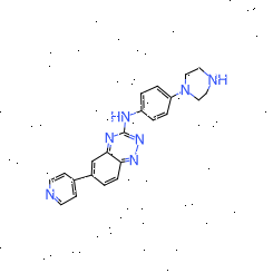 c1cc(-c2ccc3nnc(Nc4ccc(N5CCNCC5)cc4)nc3c2)ccn1